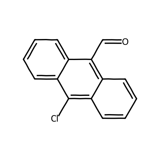 O=Cc1c2ccccc2c(Cl)c2ccccc12